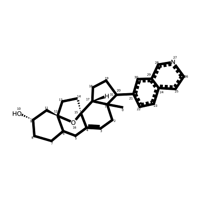 CC12CC=C3CC4CC[C@H](O)C[C@]45CC[C@]3(O5)[C@@H]1CCC2c1ccc2ccncc2c1